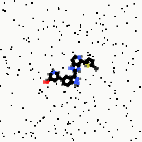 CC(=O)c1ccc(-c2nccc3[nH]c(-c4n[nH]c5ccc(-c6cncc(O)c6)cc45)nc23)s1